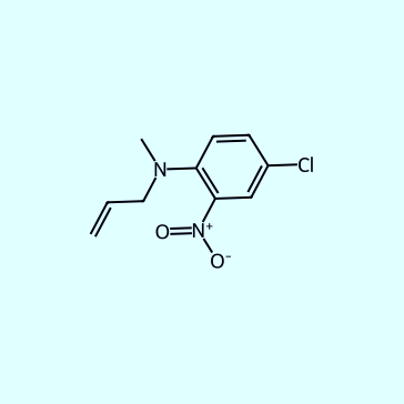 C=CCN(C)c1ccc(Cl)cc1[N+](=O)[O-]